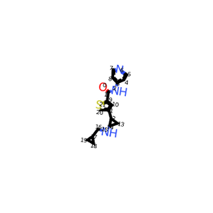 O=C(Nc1ccncc1)c1cc(C2CC2NCC2CC2)cs1